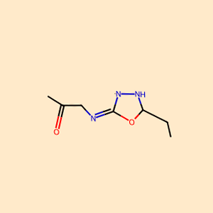 CCC1N[N]C(=NCC(C)=O)O1